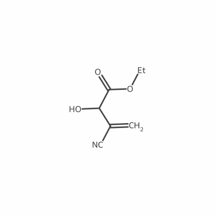 C=C(C#N)C(O)C(=O)OCC